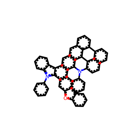 c1ccc(-c2cccc3cccc(-c4ccccc4N(c4ccccc4-c4ccc5oc6ccccc6c5c4)c4ccccc4-c4ccc5c6ccccc6n(-c6ccccc6)c5c4)c23)cc1